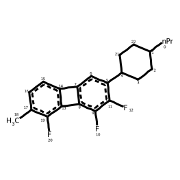 CCCC1CCC(c2cc3c(c(F)c2F)-c2c-3ccc(C)c2F)CC1